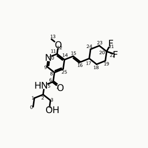 CCC(CO)NC(=O)c1cnc(OC)c(/C=C/C2CCC(F)(F)CC2)c1